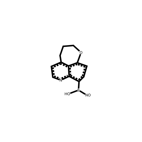 O=NB(O)c1ccc2c3c(ccnc13)CCCO2